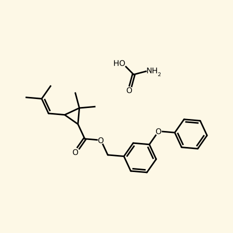 CC(C)=CC1C(C(=O)OCc2cccc(Oc3ccccc3)c2)C1(C)C.NC(=O)O